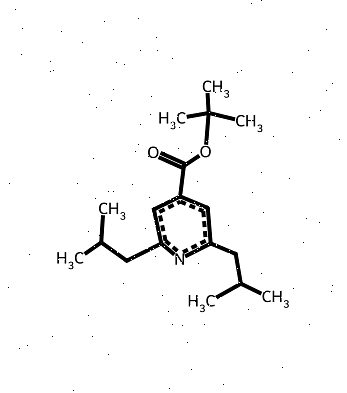 CC(C)Cc1cc(C(=O)OC(C)(C)C)cc(CC(C)C)n1